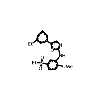 CCc1cccc(-c2cnc(Nc3cc(S(=O)(=O)CC)ccc3OC)o2)c1